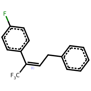 Fc1ccc(/C(=C\Cc2ccccc2)C(F)(F)F)cc1